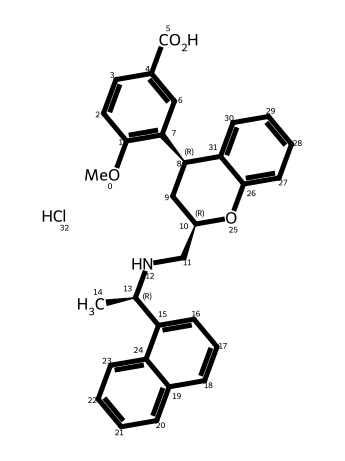 COc1ccc(C(=O)O)cc1[C@@H]1C[C@H](CN[C@H](C)c2cccc3ccccc23)Oc2ccccc21.Cl